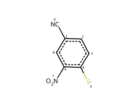 N#Cc1ccc([S])c([N+](=O)[O-])c1